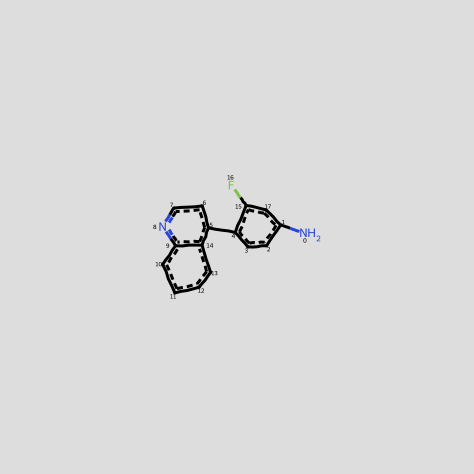 Nc1ccc(-c2ccnc3ccccc23)c(F)c1